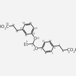 CCC(Oc1ccc(CCC(=O)O)cc1)Oc1cccc(CCC(=O)O)c1